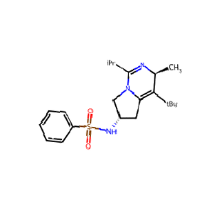 CC(C)C1=N[C@@H](C)C(C(C)(C)C)=C2C[C@H](NS(=O)(=O)c3ccccc3)CN12